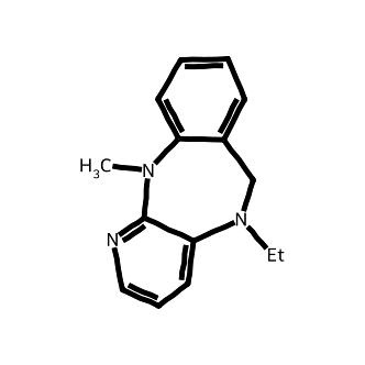 CCN1Cc2ccccc2N(C)c2ncccc21